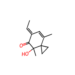 C/C=C1\C=C(C)C2(CC2)C(C)(O)C1=O